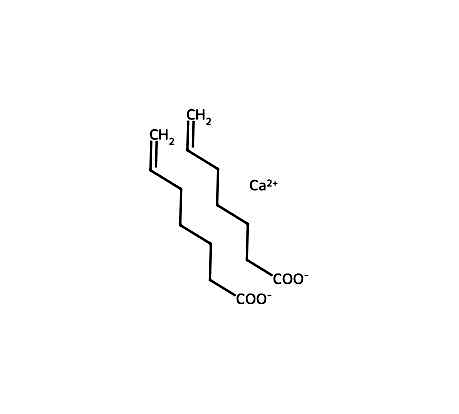 C=CCCCCC(=O)[O-].C=CCCCCC(=O)[O-].[Ca+2]